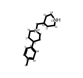 Cc1ccc(C2CCN(CC3CCNCC3)CC2)cc1